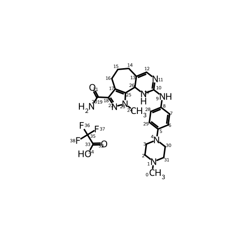 CN1CCN(c2ccc(NC3=NC=C4CCCc5c(C(N)=O)nn(C)c5C4N3)cc2)CC1.O=C(O)C(F)(F)F